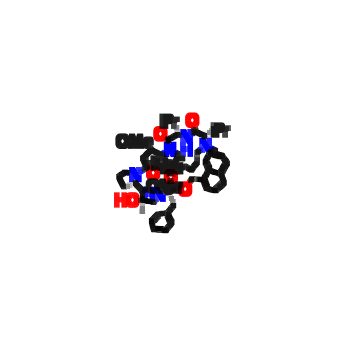 CC[C@H](C)[C@@H]([C@@H](CC(=O)N1CCC[C@H]1[C@@H](OC)[C@](C)(O)CN[C@@H](Cc1ccccc1)C(=O)OCc1cccc2ccccc12)OC)N(C)C(=O)[C@@H](NC(=O)[C@H](C(C)C)N(C)CCCC(=O)O)C(C)C